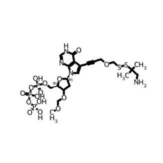 COCOC1C[C@H](n2cc(C#CCOCSSC(C)(C)CN)c3c(=O)[nH]cnc32)O[C@@H]1COP(=O)(O)OP(=O)(O)OP(=O)(O)O